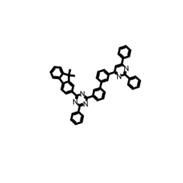 CC1(C)c2ccccc2-c2ccc(-c3nc(-c4ccccc4)nc(-c4cccc(-c5cccc(-c6cc(-c7ccccc7)nc(-c7ccccc7)n6)c5)c4)n3)cc21